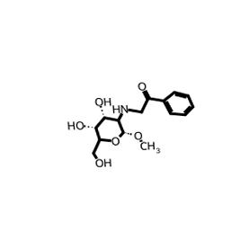 CO[C@@H]1OC(CO)[C@H](O)[C@H](O)C1NCC(=O)c1ccccc1